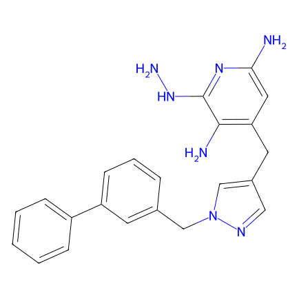 NNc1nc(N)cc(Cc2cnn(Cc3cccc(-c4ccccc4)c3)c2)c1N